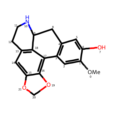 COc1cc2c(cc1O)CC1NCCc3cc4c(c-2c31)OCO4